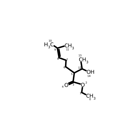 CCOC(=O)C(CCC=C(C)C)C(C)O